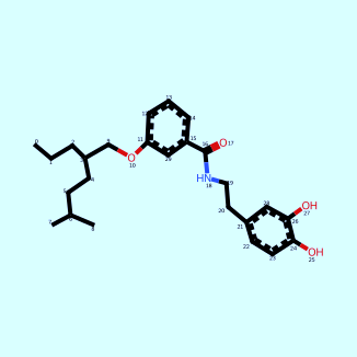 CCCC(CCC(C)C)COc1cccc(C(=O)NCCc2ccc(O)c(O)c2)c1